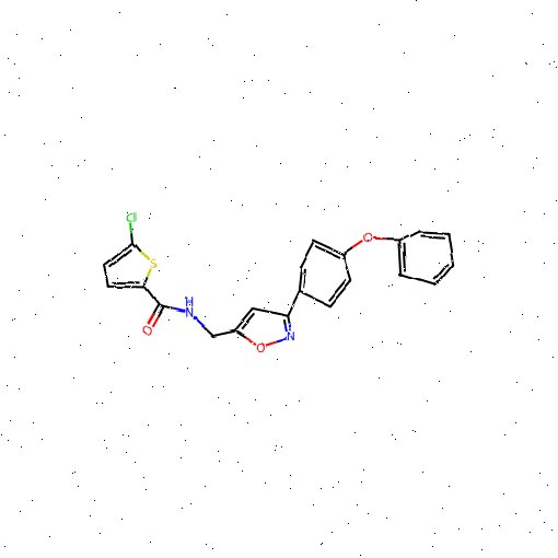 O=C(NCc1cc(-c2ccc(Oc3ccccc3)cc2)no1)c1ccc(Cl)s1